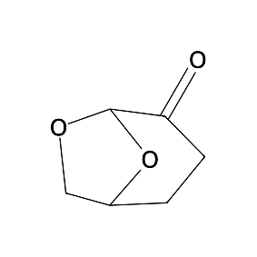 O=C1CCC2COC1O2